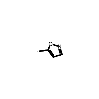 [CH2]c1ccno1